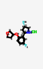 Cl.Fc1ccc(OC2CCOC2)c([C@H]2C[C@H](F)CN2)c1